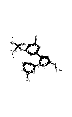 CC(C)(Oc1cc(F)cc(-c2cc(NC=O)nn2-c2cncc(C(F)(F)F)n2)c1)C(F)(F)F